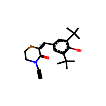 C#CN1CCS/C(=C/c2cc(C(C)(C)C)c(O)c(C(C)(C)C)c2)C1=O